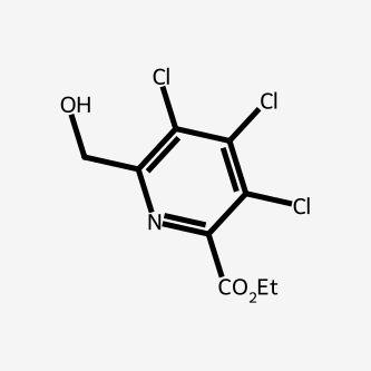 CCOC(=O)c1nc(CO)c(Cl)c(Cl)c1Cl